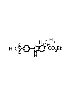 CCOC(=O)C(C)(C)c1ccc2[nH]c(-c3ccc(S(C)(=O)=O)cc3)cc2c1